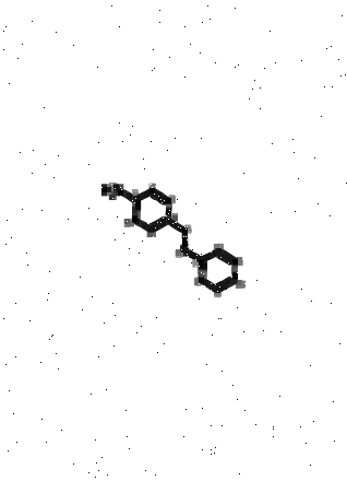 Nc1ccc(CSc2ccccc2)cc1